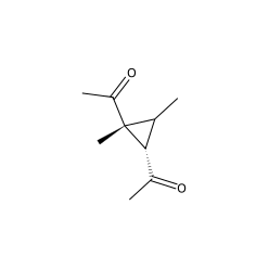 CC(=O)[C@H]1C(C)[C@@]1(C)C(C)=O